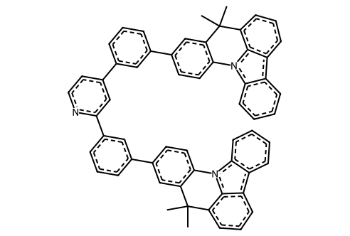 CC1(C)c2cc(-c3cccc(-c4ccnc(-c5cccc(-c6ccc7c(c6)C(C)(C)c6cccc8c9ccccc9n-7c68)c5)c4)c3)ccc2-n2c3ccccc3c3cccc1c32